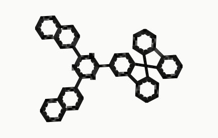 c1ccc2c(c1)-c1ccccc1C21c2ccccc2-c2cc(-c3nc(-c4ccc5ccccc5c4)nc(-c4ccc5ccccc5c4)n3)ccc21